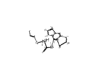 C=C(NS/C=C/C)Nc1c2c(cc3c1CCC3)CCC2